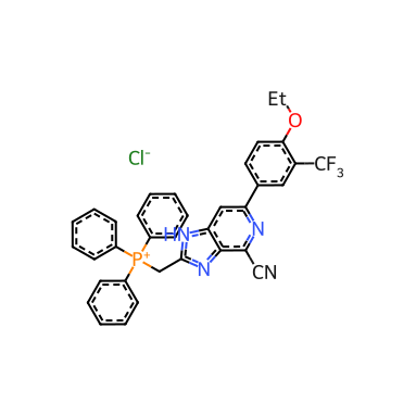 CCOc1ccc(-c2cc3[nH]c(C[P+](c4ccccc4)(c4ccccc4)c4ccccc4)nc3c(C#N)n2)cc1C(F)(F)F.[Cl-]